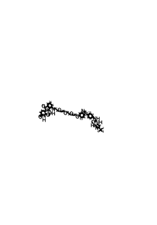 CC(C)(C)c1cc(NC(=O)Nc2ccc(-n3cnc4cc(OCCOCCOCCOCCNc5cccc6c5C(=O)N(C5CCC(=O)NC5=O)C6=O)ccc43)cc2)[nH]n1